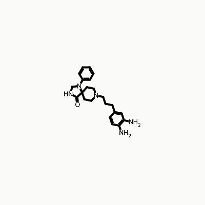 Nc1ccc(CCCN2CCC3(CC2)C(=O)NCN3c2ccccc2)cc1N